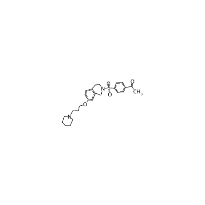 CC(=O)c1ccc(S(=O)(=O)N2CCc3ccc(OCCCN4CCCCC4)cc3C2)cc1